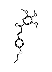 CCCOc1ccc(C=CC(=O)c2cc(OC)c(OC)c(OC)c2)cc1